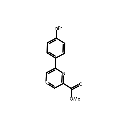 CCCc1ccc(-c2cncc(C(=O)OC)n2)cc1